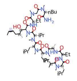 C/C=C\C[C@@H](C)[C@H](O)C(C(=O)N[C@@H](CC)C(=O)N(C)CC(=O)N(C)[C@H](CCCC)C(N)=O)N(C)C(=O)[C@H](C(C)C)N(C)C(=O)[C@@H](CC(C)C)N(C)C(=O)[C@@H](CC(C)C)N(C)C(=O)[C@H](C)NC(=O)[C@@H](CC)NC(=O)[C@H](CC(C)C)N(C)C(=O)[C@@H](C)C(C)C